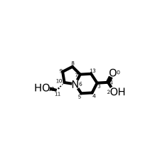 O=C(O)C1CCN2C(CC[C@H]2CO)C1